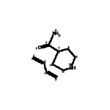 C=CC=C.NC(=O)N1CCNCC1